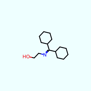 OCCN=C(C1CCCCC1)C1CCCCC1